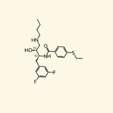 CCCCNC[C@H](O)[C@H](Cc1cc(F)cc(F)c1)NC(=O)c1ccc(SCC)cc1